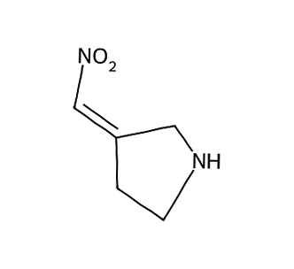 O=[N+]([O-])/C=C1/CCNC1